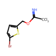 N=C(OCc1ccc(Br)s1)C(Cl)(Cl)Cl